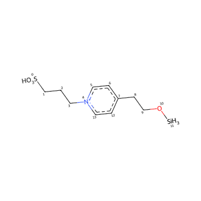 O=S(=O)(O)CCC[n+]1ccc(CCO[SiH3])cc1